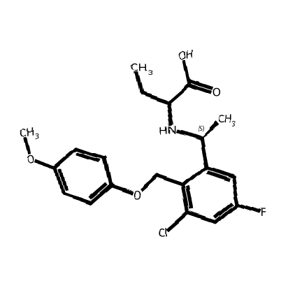 CCC(N[C@@H](C)c1cc(F)cc(Cl)c1COc1ccc(OC)cc1)C(=O)O